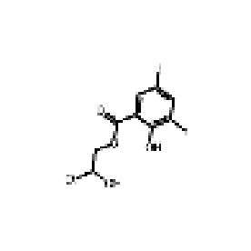 CCC(O)COC(=O)c1cc(I)cc(I)c1O